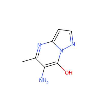 Cc1nc2ccnn2c(O)c1N